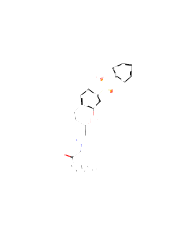 CNC(=O)CNCC1CCc2ccc(S(=O)(=O)c3ccccc3)cc2O1